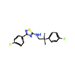 CC(C)(CNc1nc(-c2ccc(F)cc2)ns1)c1ccc(F)cc1